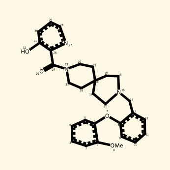 COc1ccccc1Oc1ccccc1CN1CCC2(CC1)CCN(C(=O)c1ncccc1O)CC2